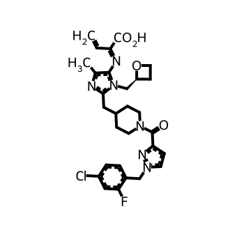 C=C/C(=N\c1c(C)nc(CC2CCN(C(=O)c3ccn(Cc4ccc(Cl)cc4F)n3)CC2)n1C[C@@H]1CCO1)C(=O)O